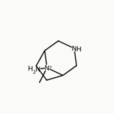 C[N+]1(N)C2CCC1CNC2